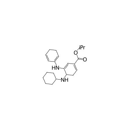 CC(C)OC(=O)C1=CCC(NC2CCCCC2)C(NC2=CCCC=C2)=C1